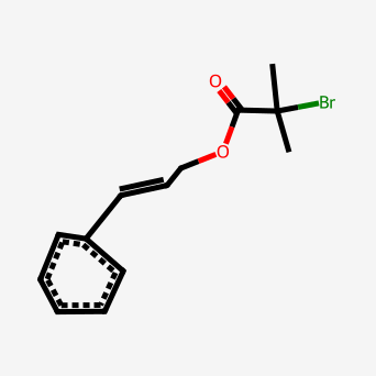 CC(C)(Br)C(=O)OCC=Cc1ccccc1